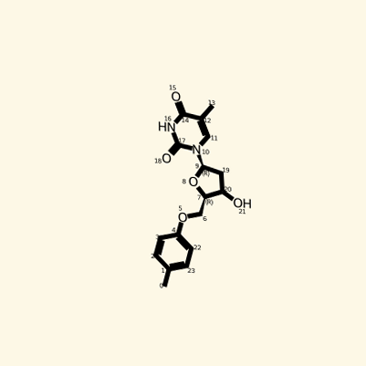 Cc1ccc(OC[C@H]2O[C@@H](n3cc(C)c(=O)[nH]c3=O)CC2O)cc1